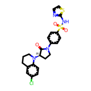 O=C1[C@H](N2CCCc3cc(Cl)ccc32)CCN1c1ccc(S(=O)(=O)Nc2nccs2)cc1